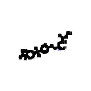 COC(=O)C1(C)CCN(S(=O)(=O)c2ccc(OC/C(=C/F)CNC(=O)OC(C)(C)C)nc2)CC1